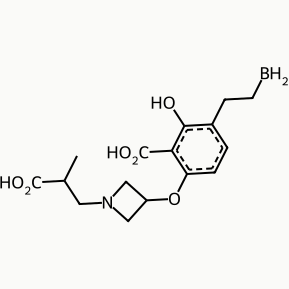 BCCc1ccc(OC2CN(CC(C)C(=O)O)C2)c(C(=O)O)c1O